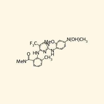 CNC(=O)c1cccc(C)c1Nc1nc(Nc2ccc(N(C)O)cc2OC)ncc1C(F)(F)F